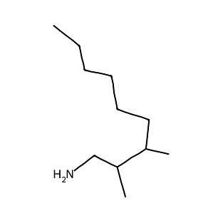 CCCCCCC(C)C(C)CN